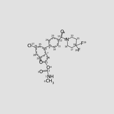 CNC(=O)Oc1cc2c(-c3ccc(C(=O)N4CCC(F)(F)CC4)cc3)cc(Cl)cc2o1